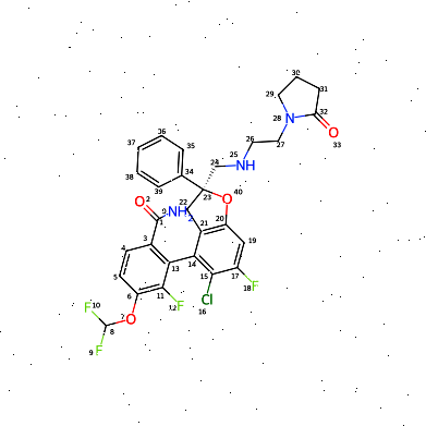 NC(=O)c1ccc(OC(F)F)c(F)c1-c1c(Cl)c(F)cc2c1C[C@@](CNCCN1CCCC1=O)(c1ccccc1)O2